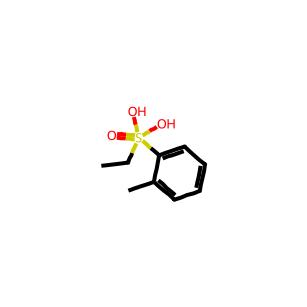 CCS(=O)(O)(O)c1ccccc1C